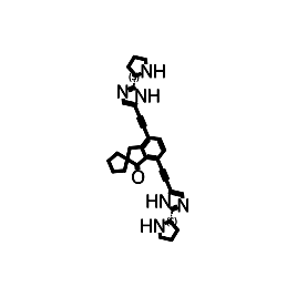 O=C1c2c(C#Cc3cnc([C@@H]4CCCN4)[nH]3)ccc(C#Cc3cnc([C@@H]4CCCN4)[nH]3)c2CC12CCCC2